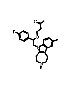 CC(=O)CCOC(Cn1c2c(c3cc(C)ccc31)CCN(C)CC2)c1ccc(F)cc1